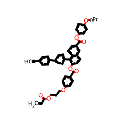 C#Cc1ccc(-c2ccc(-c3c(OC(=O)c4ccc(OCCCOC(=O)C=C)cc4)ccc4cc(C(=O)Oc5ccc(OCCC)cc5)ccc34)cc2)cc1